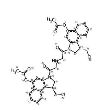 CC(=O)Oc1cc2c(c3ccccc13)[C@H](CCl)CN2C(=O)CNCC(=O)N1C[C@@H](CCl)c2c1cc(OC(C)=O)c1ccccc21